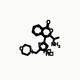 CC(N)c1oc(=O)c2ccccc2c1-c1ccc(CN2CCOCC2)s1.Cl.Cl